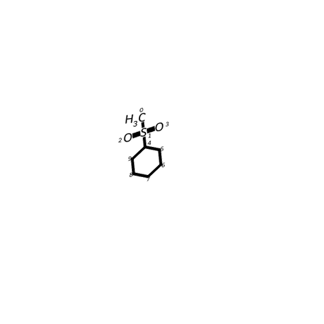 CS(=O)(=O)C1CCCCC1